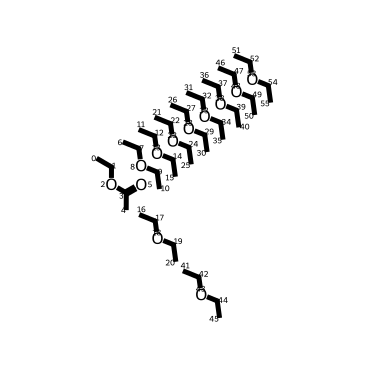 CCOC(C)=O.CCOCC.CCOCC.CCOCC.CCOCC.CCOCC.CCOCC.CCOCC.CCOCC.CCOCC.CCOCC